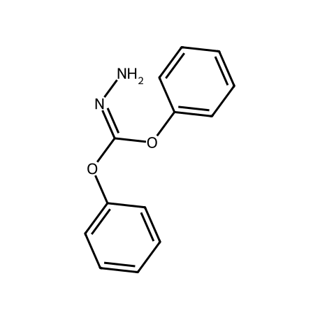 NN=C(Oc1ccccc1)Oc1ccccc1